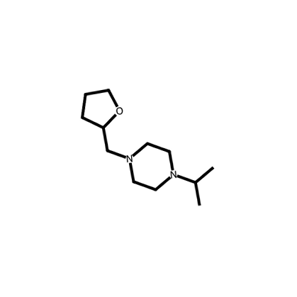 CC(C)N1CCN(CC2CCCO2)CC1